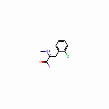 CN[C@@H](Cc1ccccc1Cl)C(=O)I